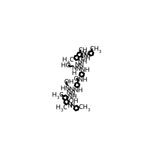 Cc1cccc(N=Nc2c(C)cc3cc(C)cc(Nc4nc(NCCO)nc(Nc5ccc(NC(=O)c6ccc(Nc7nc(NCCO)nc(Nc8cc(C)cc9cc(C)c(N=Nc%10cccc(C)c%10)c(O)c89)n7)cc6)cc5)n4)c3c2O)c1